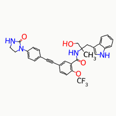 CC(CO)(Cc1c[nH]c2ccccc12)NC(=O)c1cc(C#Cc2ccc(N3CCNC3=O)cc2)ccc1OC(F)(F)F